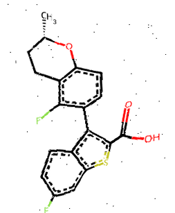 C[C@H]1CCc2c(ccc(-c3c(C(=O)O)sc4cc(F)ccc34)c2F)O1